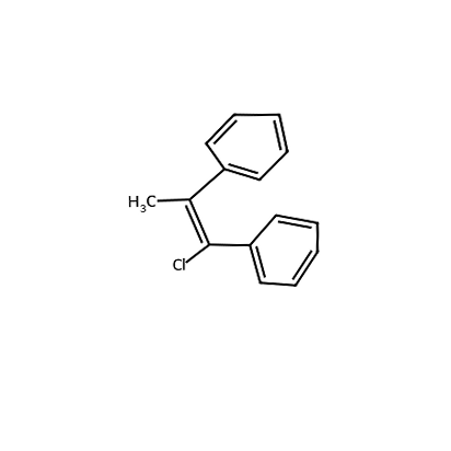 CC(=C(Cl)c1ccccc1)c1ccccc1